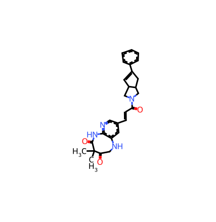 CC1(C)C(=O)CNc2cc(/C=C/C(=O)N3CC4C=C(c5ccccc5)CC4C3)cnc2NC1=O